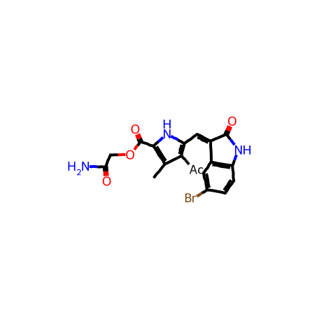 CC(=O)c1c(C=C2C(=O)Nc3ccc(Br)cc32)[nH]c(C(=O)OCC(N)=O)c1C